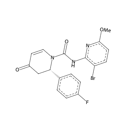 COc1ccc(Br)c(NC(=O)N2C=CC(=O)C[C@H]2c2ccc(F)cc2)n1